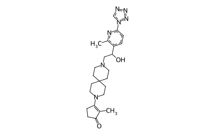 CC1=C(N2CCC3(CCN(CC(O)c4ccc(-n5cnnn5)nc4C)CC3)CC2)CCC1=O